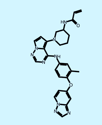 C=CC(=O)NC1CCCN(c2ccn3ncnc(Nc4ccc(Oc5ccn6ncnc6c5)c(C)c4)c23)C1